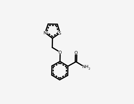 NC(=O)c1ccccc1OCc1nccs1